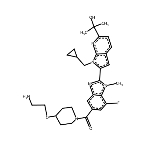 Cn1c(-c2cc3ccc(C(C)(C)O)nc3n2CC2CC2)nc2cc(C(=O)N3CCC(OCCN)CC3)cc(F)c21